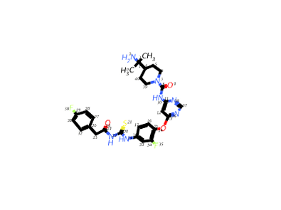 CC(C)(N)C1CCN(C(=O)Nc2cc(Oc3ccc(NC(=S)NC(=O)Cc4ccc(F)cc4)cc3F)ncn2)CC1